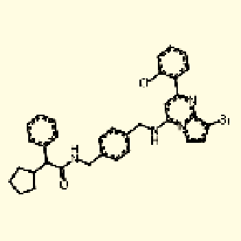 O=C(NCc1ccc(CNc2cc(-c3ccccc3Cl)nc3c(Br)ccn23)cc1)C(c1ccccc1)C1CCCC1